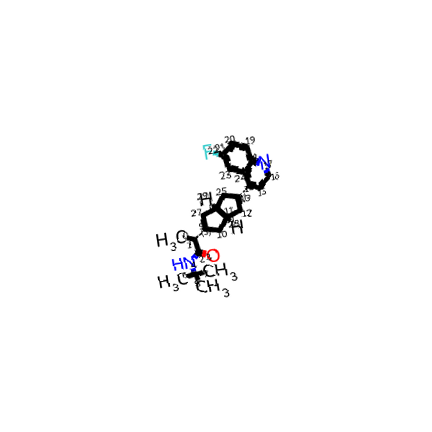 CC(C(=O)NC(C)(C)C)[C@H]1C[C@H]2C[C@@H](c3ccnc4ccc(F)cc34)C[C@H]2C1